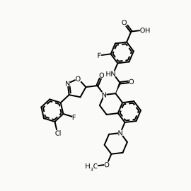 COC1CCN(c2cccc3c2CCN(C(=O)C2CC(c4cccc(Cl)c4F)=NO2)[C@H]3C(=O)Nc2ccc(C(=O)O)cc2F)CC1